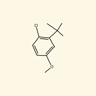 COc1ccc(Cl)c(C(C)(C)C)c1